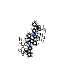 Cc1c(C)n(-c2ccc3c(c2)C(C)(C)c2ccccc2-3)c2c3ccccc3c3c4c(C)c(C)n(-c5ccc6c(c5)C(C)(C)c5ccccc5-6)c4c4ccccc4c3c12